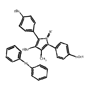 CCCCCCCCc1ccc(C2=C(C)C(CCCC)=C(c3ccc(CCCC)cc3)[N+]2=[N-])cc1.c1cc[c]([Ni][c]2ccccc2)cc1